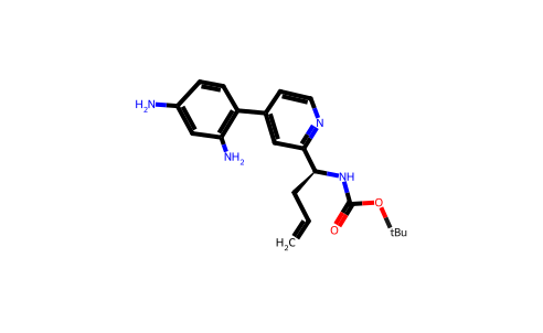 C=CC[C@H](NC(=O)OC(C)(C)C)c1cc(-c2ccc(N)cc2N)ccn1